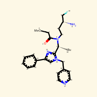 COCC(=O)N(CC[C@@H](N)CF)[C@@H](c1nc(-c2ccccc2)cn1Cc1ccncc1)C(C)(C)C